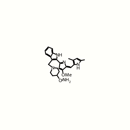 COC1=CC(c2[nH]c3ccccc3c2CN2CCC(ON)CC2)=N/C1=C\c1[nH]c(C)cc1C